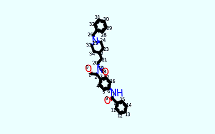 O=CC1c2ccc(NC(=O)c3ccccc3)cc2ON1CCC1CCN(Cc2ccccc2)CC1